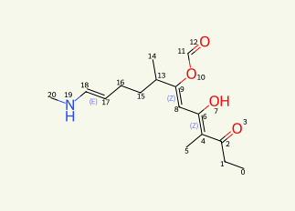 CCC(=O)/C(C)=C(O)/C=C(\OC=O)C(C)CC/C=C/NC